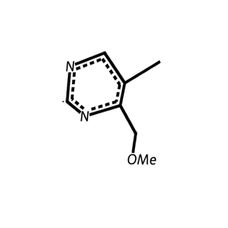 COCc1n[c]ncc1C